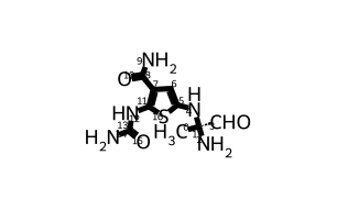 C[C@@](N)(C=O)Nc1cc(C(N)=O)c(NC(N)=O)s1